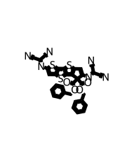 N#CC(C#N)=NC1=Cc2sc3c(sc4cc(N=C(C#N)C#N)sc43)c2C1(C(=O)OCc1ccccc1)C(=O)OCc1ccccc1